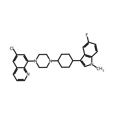 Cn1cc(C2CCC(N3CCN(c4cc(Cl)cc5cccnc45)CC3)CC2)c2cc(F)ccc21